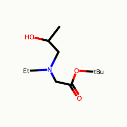 CCN(CC(=O)OC(C)(C)C)CC(C)O